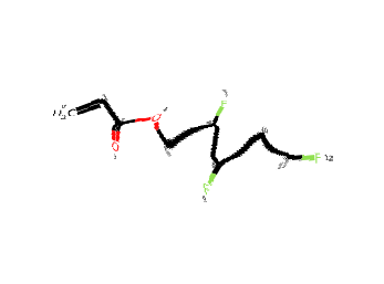 C=CC(=O)OCC(F)C(F)CCF